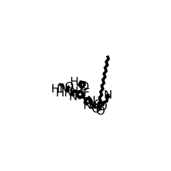 CCCCCCCCCCCCCCCCOP(=O)(OCCC#N)OC(C)(C)c1ncc(-c2cc3nc(NC(=O)NCC)[nH]c3c([C@H]3CCCO3)c2F)cn1